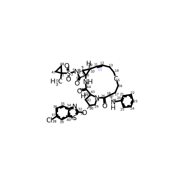 CC1(S(=O)(=O)NC(=O)[C@@]23C[C@H]2/C=C\CCCCC[C@H](Nc2ccccc2)C(=O)N2C[C@H](Oc4nc5ccc(Cl)cc5s4)C[C@H]2C(=O)N3)CC1